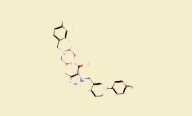 Cc1nnn(CC2=CN(c3ccc(C(F)(F)F)cc3)CC=C2)c1C(=O)N1CCN(Cc2ccc(Cl)cc2)CC1